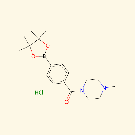 CN1CCN(C(=O)c2ccc(B3OC(C)(C)C(C)(C)O3)cc2)CC1.Cl